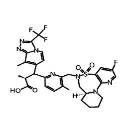 Cc1ccc(C(c2ccn3c(C(F)(F)F)nnc3c2C)[C@H](C)C(=O)O)nc1CN1C[C@@H]2CCCCN2c2ncc(F)cc2S1(=O)=O